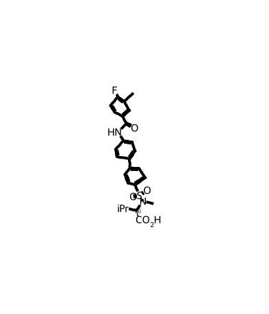 Cc1cc(C(=O)Nc2ccc(-c3ccc(S(=O)(=O)N(C)[C@H](C(=O)O)C(C)C)cc3)cc2)ccc1F